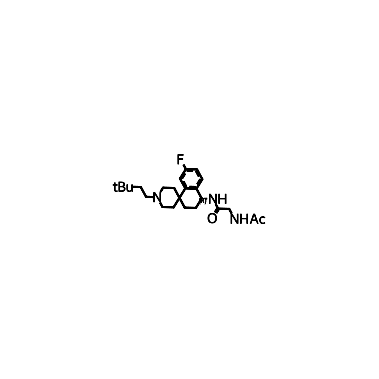 CC(=O)NCC(=O)N[C@@H]1CCC2(CCN(CCC(C)(C)C)CC2)c2cc(F)ccc21